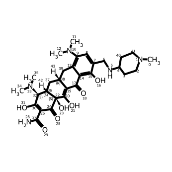 CN1CCC(NCc2cc(N(C)C)c3c(c2O)C(=O)C2=C(O)[C@]4(O)C(=O)C(C(N)=O)=C(O)[C@@H](N(C)C)[C@@H]4C[C@@H]2C3)CC1